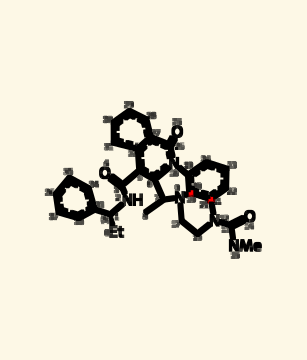 CC[C@H](NC(=O)c1c(C(C)N2CCN(C(=O)NC)CC2)n(-c2ccccc2)c(=O)c2ccccc12)c1ccccc1